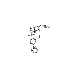 CC(C)(C)Cc1c[nH]c(CC(C)(O)c2ccc(-n3cccn3)cc2Cl)n1